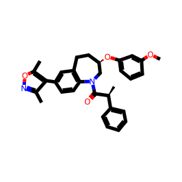 COc1cccc(O[C@H]2CCc3cc(-c4c(C)noc4C)ccc3N(C(=O)[C@@H](C)c3ccccc3)C2)c1